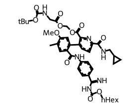 CCCCCCOC(=O)NC(=N)c1ccc(NC(=O)c2cc(C)c(OC)cc2-c2ccc(C(=O)NCC3CC3)nc2C(=O)OCOC(=O)CNC(=O)OC(C)(C)C)cc1